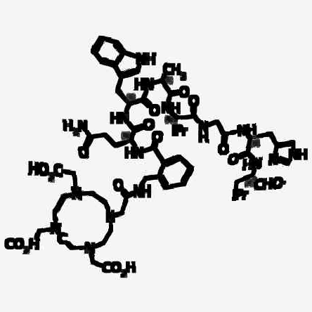 CC(C)C[C@@H]([C]=O)NC(=O)[C@H](Cc1c[nH]cn1)NC(=O)CNC(=O)[C@@H](NC(=O)[C@H](C)NC(=O)[C@H](Cc1c[nH]c2ccccc12)NC(=O)[C@H](CCC(N)=O)NC(=O)c1ccccc1CNC(=O)CN1CCN(CC(=O)O)CCN(CC(=O)O)CCN(CC(=O)O)CC1)C(C)C